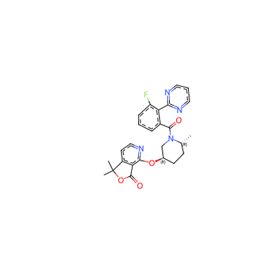 C[C@@H]1CC[C@@H](Oc2nccc3c2C(=O)OC3(C)C)CN1C(=O)c1cccc(F)c1-c1ncccn1